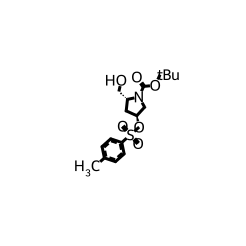 Cc1ccc(S(=O)(=O)O[C@H]2C[C@H](CO)N(C(=O)OC(C)(C)C)C2)cc1